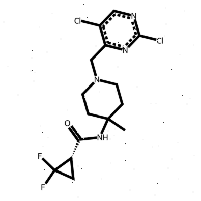 CC1(NC(=O)[C@@H]2CC2(F)F)CCN(Cc2nc(Cl)ncc2Cl)CC1